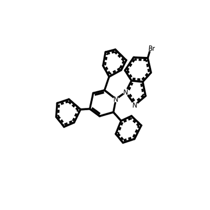 Brc1ccc2c(cnn2N2C(c3ccccc3)=CC(c3ccccc3)=CC2c2ccccc2)c1